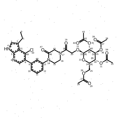 CCc1c[nH]c2ncc(-c3cccc(N4CCN(C(=O)CO[C@@H]5O[C@H](COC(C)=O)[C@@H](OC(C)=O)[C@H](OC(C)=O)[C@H]5OC(C)=O)CC4=O)c3)c(Cl)c12